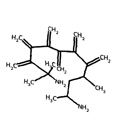 C=C(C(=C)C(=C)C(=C)C(C)(C)N)C(=C)C(=C)C(C)CC(C)N